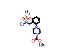 CCN(Cc1ccccc1N1CCN(C(=O)OC(C)(C)C)CC1)S(C)(=O)=O